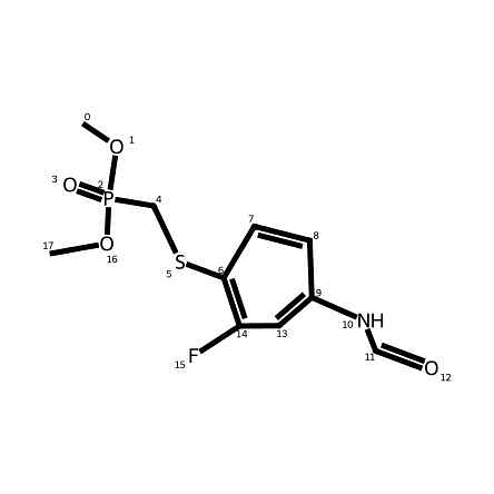 COP(=O)(CSc1ccc(NC=O)cc1F)OC